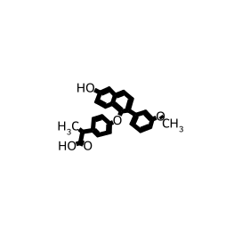 COc1cccc(-c2ccc3cc(O)ccc3c2Oc2ccc(C(C)C(=O)O)cc2)c1